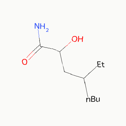 CCCCC(CC)CC(O)C(N)=O